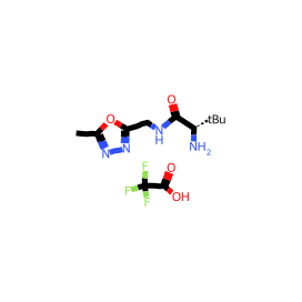 Cc1nnc(CNC(=O)[C@@H](N)C(C)(C)C)o1.O=C(O)C(F)(F)F